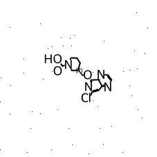 O=C(O)N1CCC[C@@H](COc2nc(Cl)cc3nccnc23)C1